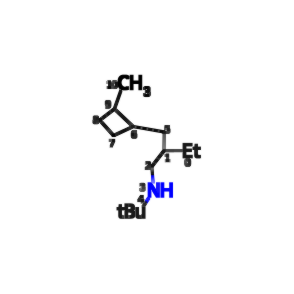 CCC(CNC(C)(C)C)CC1CCC1C